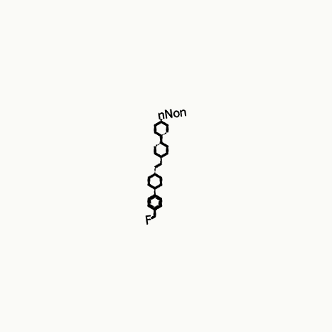 CCCCCCCCC[C@H]1CC[C@H]([C@H]2CC[C@H](CC[C@H]3CC[C@H](c4ccc(CF)cc4)CC3)CC2)CC1